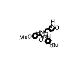 COc1ccc(C(NC(=O)Cc2ccc(=O)[nH]c2)C(=O)Nc2ccc(C(C)(C)C)cc2)cc1